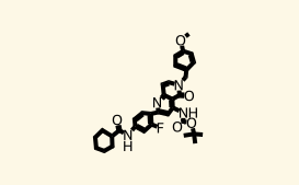 COc1ccc(Cn2ccc3nc(-c4ccc(NC(=O)C5CCCCC5)cc4F)cc(NC(=O)OC(C)(C)C)c3c2=O)cc1